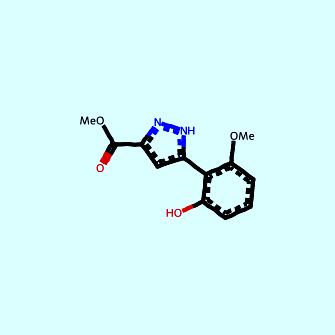 COC(=O)c1cc(-c2c(O)cccc2OC)[nH]n1